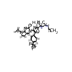 C=C/C=C(C)\C=C(/C)c1nc(-n2cc3ccn(C4CC4)c3nc2=O)c(-c2ccc(C(F)(F)F)cc2)o1